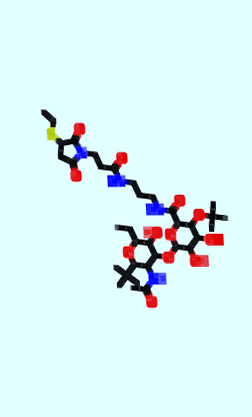 CCSC1CC(=O)N(CCC(=O)NCCCNC(=O)C2OC(OC3C(O)C(CC)OC(C(C)(C)C)C3NC(C)=O)C(O)C(O)C2OC(C)(C)C)C1=O